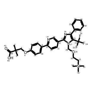 CC(C)(COc1ccc(-c2ccc(-c3nc(-c4ccccc4)c(C(F)(F)F)n3COCC[Si](C)(C)C)cn2)cc1)C(=O)O